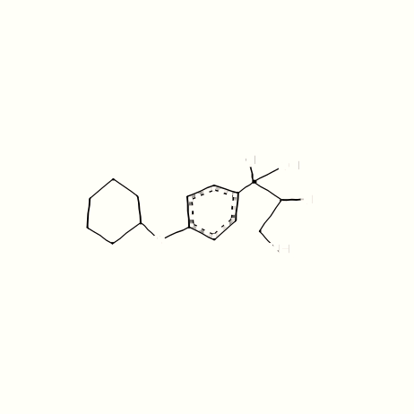 CC(CN)C(C)(O)c1ccc(SC2CCCCC2)cc1